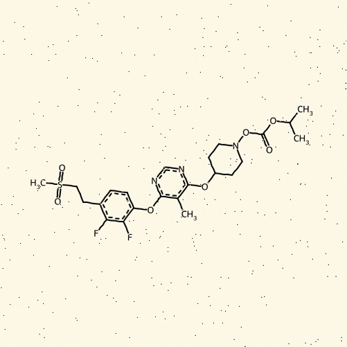 Cc1c(Oc2ccc(CCS(C)(=O)=O)c(F)c2F)ncnc1OC1CCN(OC(=O)OC(C)C)CC1